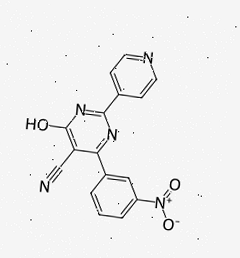 N#Cc1c(O)nc(-c2ccncc2)nc1-c1cccc([N+](=O)[O-])c1